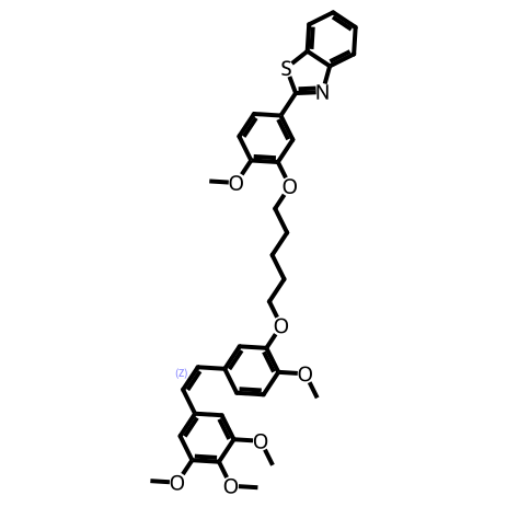 COc1ccc(/C=C\c2cc(OC)c(OC)c(OC)c2)cc1OCCCCCOc1cc(-c2nc3ccccc3s2)ccc1OC